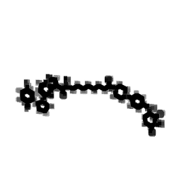 O=C1CCC(Nc2ccc(N3CCN(C(=O)CCCCCCCNC(=O)c4cnn5ccc(N6CCC[C@@H]6c6cc(F)ccc6F)nc45)CC3)cc2)C(=O)N1